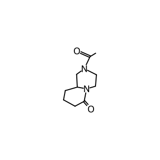 CC(=O)N1CCN2C(=O)CCCC2C1